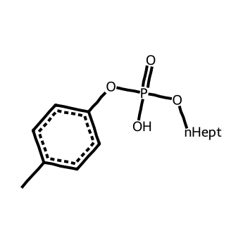 CCCCCCCOP(=O)(O)Oc1ccc(C)cc1